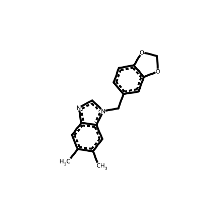 Cc1cc2ncn(Cc3ccc4c(c3)OCO4)c2cc1C